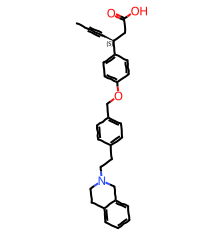 CC#C[C@@H](CC(=O)O)c1ccc(OCc2ccc(CCN3CCc4ccccc4C3)cc2)cc1